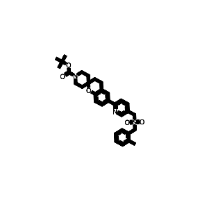 Cc1ccccc1CS(=O)(=O)Cc1ccc(-c2ccc3c(c2)CCC2(CCN(C(=O)OC(C)(C)C)CC2)O3)nc1